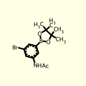 CC(=O)Nc1cc(Br)cc(B2OC(C)(C)C(C)(C)O2)c1